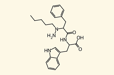 CCCCCN(N)C(Cc1ccccc1)C(=O)NC(Cc1c[nH]c2ccccc12)C(=O)O